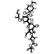 CCCC(C)ON1C=C(S(=O)(=O)N2CCN(CC)CC2)C=C(c2nc3c(CC)n(C4CN(C(=O)OC(C)(C)C)C4)nc3c(=O)[nH]2)C1